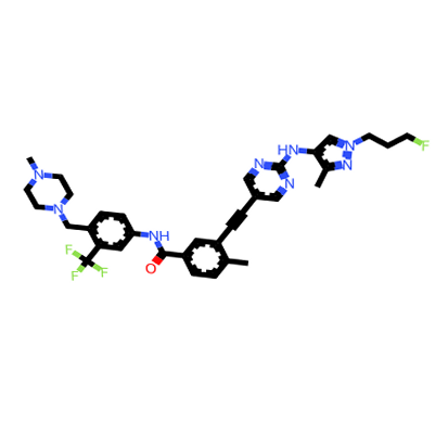 Cc1ccc(C(=O)Nc2ccc(CN3CCN(C)CC3)c(C(F)(F)F)c2)cc1C#Cc1cnc(Nc2cn(CCCF)nc2C)nc1